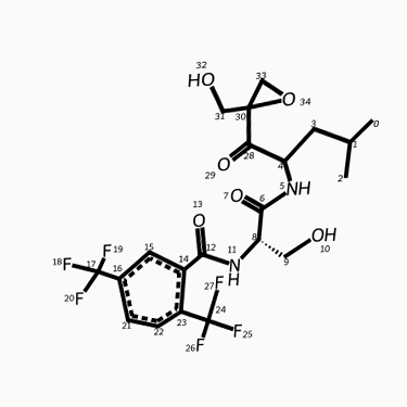 CC(C)CC(NC(=O)[C@H](CO)NC(=O)c1cc(C(F)(F)F)ccc1C(F)(F)F)C(=O)C1(CO)CO1